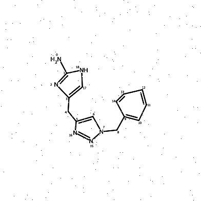 Nc1nc(Cc2cn(Cc3ccccc3)nn2)c[nH]1